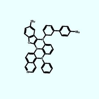 CC(C)(C)c1ccc(C2=CC=CC(N3c4cccc5c4B(c4ccc6cnccc6c4N5c4ccccc4)c4oc5ccc(C(C)(C)C)cc5c43)C2)cc1